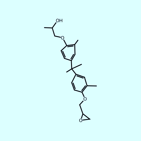 Cc1cc(C(C)(C)c2ccc(OCC3CO3)c(C)c2)ccc1OCC(C)O